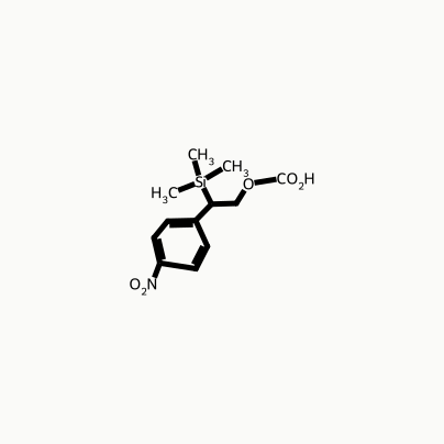 C[Si](C)(C)C(COC(=O)O)c1ccc([N+](=O)[O-])cc1